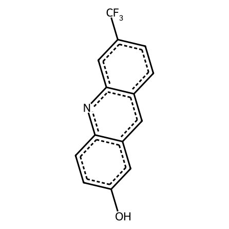 Oc1ccc2nc3cc(C(F)(F)F)ccc3cc2c1